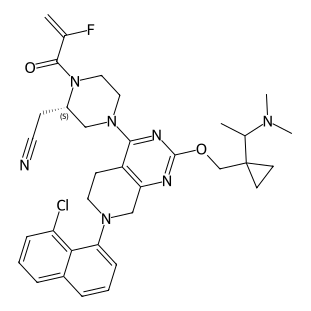 C=C(F)C(=O)N1CCN(c2nc(OCC3(C(C)N(C)C)CC3)nc3c2CCN(c2cccc4cccc(Cl)c24)C3)C[C@@H]1CC#N